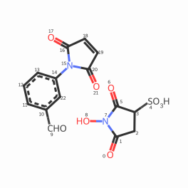 O=C1CC(S(=O)(=O)O)C(=O)N1O.O=Cc1cccc(N2C(=O)C=CC2=O)c1